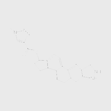 Cn1cc(C(=O)OC2CCC3C2=CC=C2C4=CC5CNNC5CC4CCC23)nn1